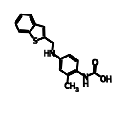 Cc1cc(NCc2cc3ccccc3s2)ccc1NC(=O)O